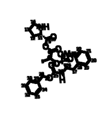 COP(=O)(OC(C)C(=O)OC(=O)[C@@H]1CCCN1)C(Cc1ccccc1)NC(=O)OCc1ccccc1